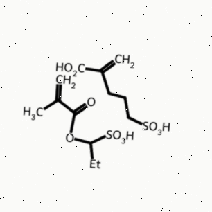 C=C(C)C(=O)OC(CC)S(=O)(=O)O.C=C(CCCS(=O)(=O)O)C(=O)O